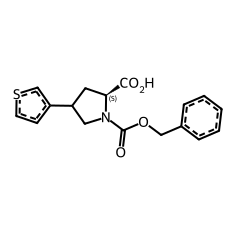 O=C(O)[C@@H]1CC(c2ccsc2)CN1C(=O)OCc1ccccc1